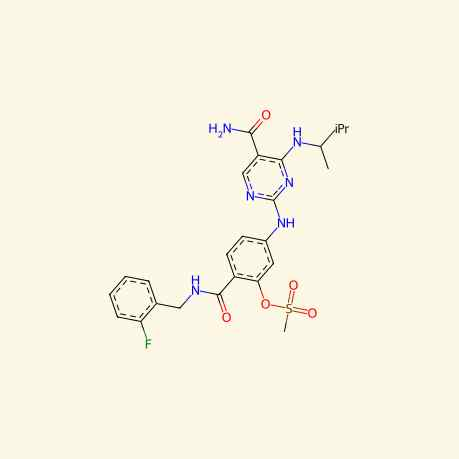 CC(C)C(C)Nc1nc(Nc2ccc(C(=O)NCc3ccccc3F)c(OS(C)(=O)=O)c2)ncc1C(N)=O